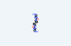 O=C(c1ncc2c(n1)CCNC2)N1CCc2c(-c3cccc4c3CCN4C(=O)c3ncc4c(n3)CCNC4)cccc21